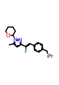 Cc1cc(/C(F)=C/c2ccc(CC(C)C)cc2)nn1C1CCCCO1